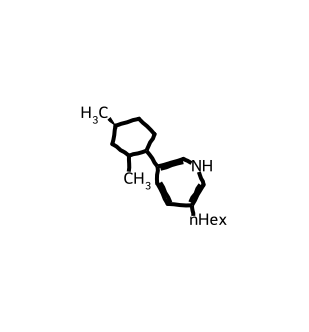 CCCCCCC1=CNC=C(C2CC[C@H](C)CC2C)C=C1